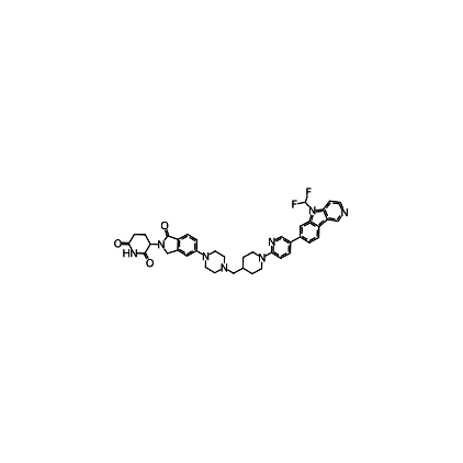 O=C1CCC(N2Cc3cc(N4CCN(CC5CCN(c6ccc(-c7ccc8c9cnccc9n(C(F)F)c8c7)cn6)CC5)CC4)ccc3C2=O)C(=O)N1